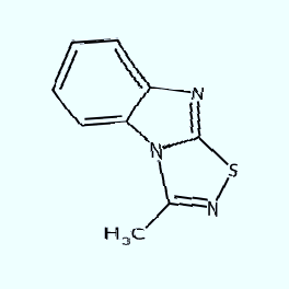 Cc1nsc2nc3ccccc3n12